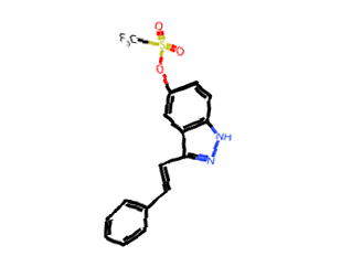 O=S(=O)(Oc1ccc2[nH]nc(C=Cc3ccccc3)c2c1)C(F)(F)F